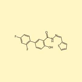 O=C(N/N=C\c1cccs1)c1cc(-c2ccc(F)cc2F)ccc1O